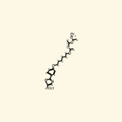 CCCCCCCCc1cnc(-c2ccc(OCCCCCCOC(C)OC(C)OC(C)OC(F)(F)F)cc2)nc1